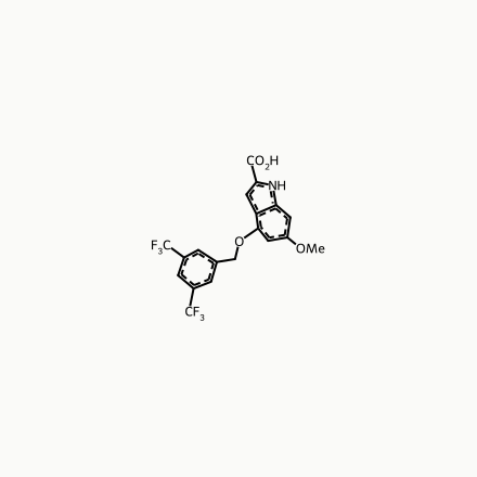 COc1cc(OCc2cc(C(F)(F)F)cc(C(F)(F)F)c2)c2cc(C(=O)O)[nH]c2c1